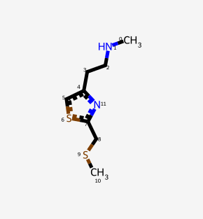 CNCCc1csc(CSC)n1